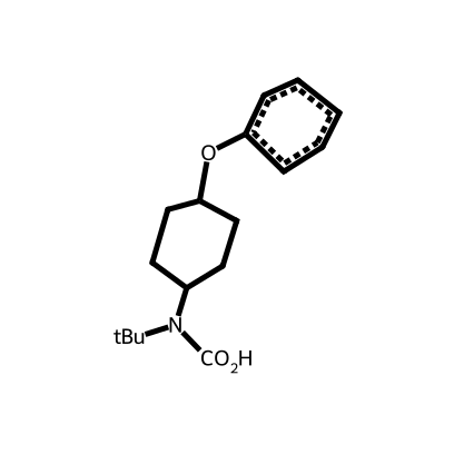 CC(C)(C)N(C(=O)O)C1CCC(Oc2ccccc2)CC1